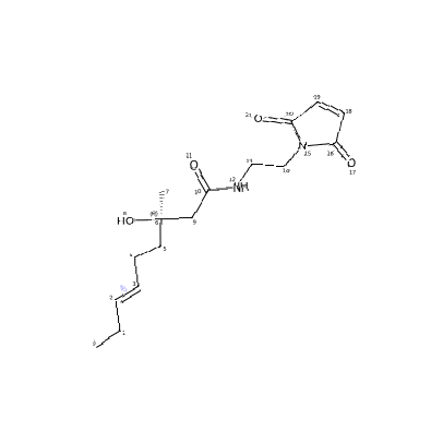 CC/C=C/CC[C@@](C)(O)CC(=O)NCCN1C(=O)C=CC1=O